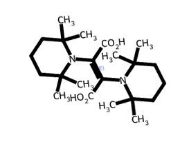 CC1(C)CCCC(C)(C)N1/C(C(=O)O)=C(\C(=O)O)N1C(C)(C)CCCC1(C)C